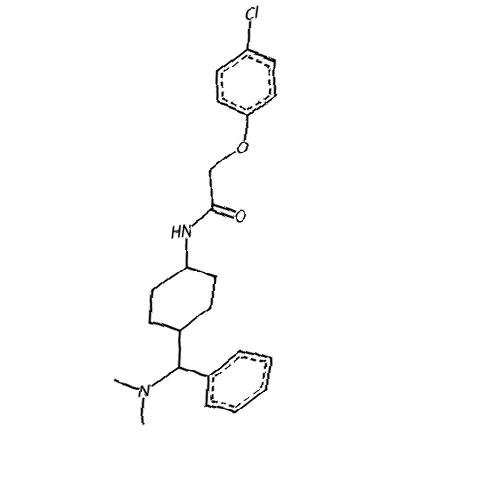 CN(C)C(c1ccccc1)C1CCC(NC(=O)COc2ccc(Cl)cc2)CC1